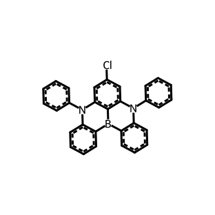 Clc1cc2c3c(c1)N(c1ccccc1)c1ccccc1B3c1ccccc1N2c1ccccc1